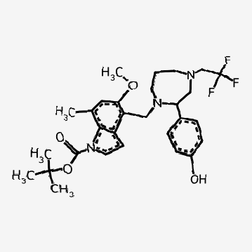 COc1cc(C)c2c(ccn2C(=O)OC(C)(C)C)c1CN1CCCN(CC(F)(F)F)CC1c1ccc(O)cc1